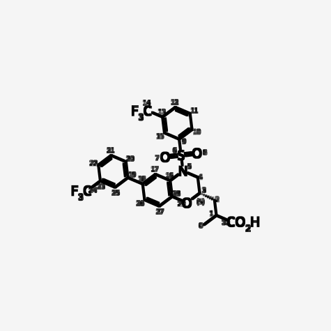 CC(C[C@H]1CN(S(=O)(=O)c2cccc(C(F)(F)F)c2)c2cc(-c3cccc(C(F)(F)F)c3)ccc2O1)C(=O)O